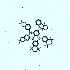 CC1(C)Cc2ccc(N3c4cc5c(cc4B4c6cc7c(cc6N(c6ccc8c(c6)C(C)(C)CCC8(C)C)c6cc(N8c9ccccc9C9(C)CCCC89C)cc3c64)C(C)(C)CCC7(C)C)CC(C)(C)C5)cc2C1